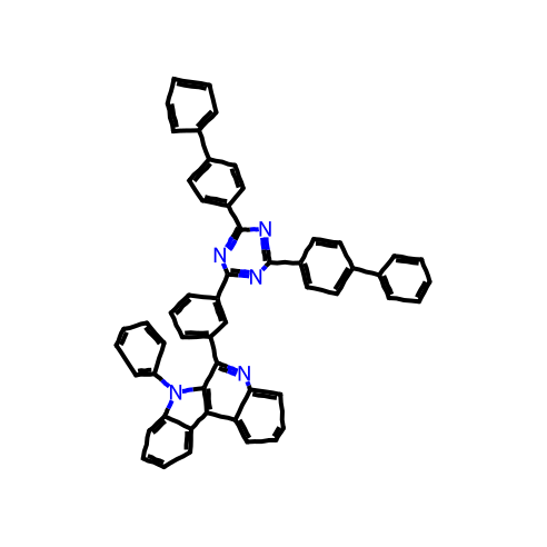 c1ccc(-c2ccc(-c3nc(-c4ccc(-c5ccccc5)cc4)nc(-c4cccc(-c5nc6ccccc6c6c7ccccc7n(-c7ccccc7)c56)c4)n3)cc2)cc1